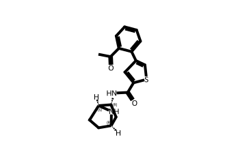 CC(=O)c1ccccc1-c1csc(C(=O)N[C@@H]2C[C@H]3CC[C@@H]2N3)c1